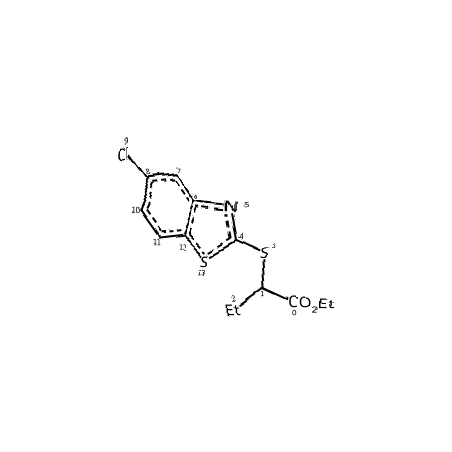 CCOC(=O)C(CC)Sc1nc2cc(Cl)ccc2s1